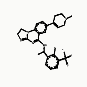 Cc1c(C(C)NC2=NC3=NCCN3c3ccc(C4=CCN(C)CC4)cc32)cccc1C(F)(F)F